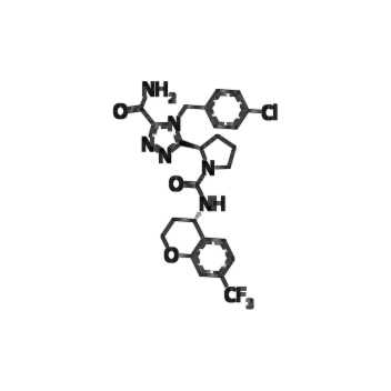 NC(=O)c1nnc([C@H]2CCCN2C(=O)N[C@H]2CCOc3cc(C(F)(F)F)ccc32)n1Cc1ccc(Cl)cc1